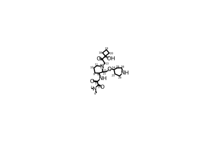 CN(C)C(=O)C(=O)NC1CCCN(CC(=O)C2(O)CCC2)C1COC1CCNCC1